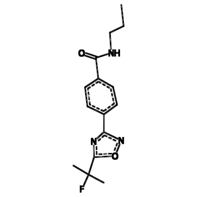 CCCNC(=O)c1ccc(-c2noc(C(C)(C)F)n2)cc1